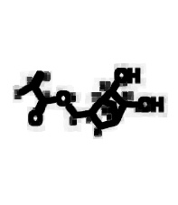 C=C(C)C(=O)OCC1CC2CC1C(O)C2O